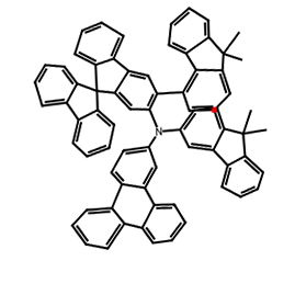 CC1(C)c2ccccc2-c2cc(N(c3ccc4c5ccccc5c5ccccc5c4c3)c3cc4c(cc3-c3cccc5c3-c3ccccc3C5(C)C)-c3ccccc3C43c4ccccc4-c4ccccc43)ccc21